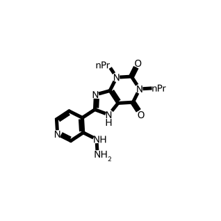 CCCn1c(=O)c2[nH]c(-c3ccncc3NN)nc2n(CCC)c1=O